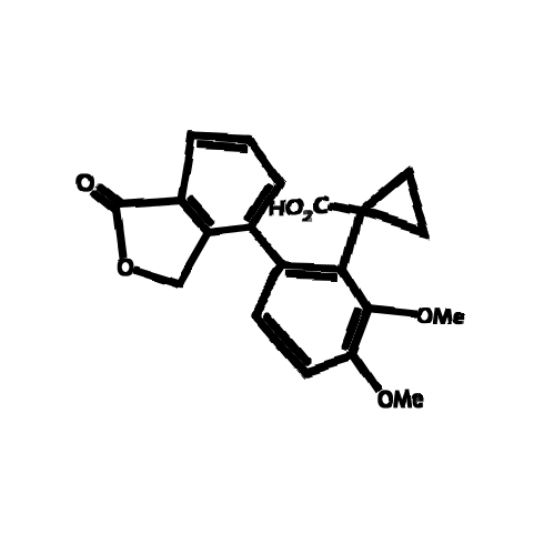 COc1ccc(-c2cccc3c2COC3=O)c(C2(C(=O)O)CC2)c1OC